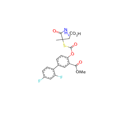 COC(=O)c1cc(-c2ccc(F)cc2F)ccc1OC(=O)SC(C)(CC(=O)O)C(N)=O